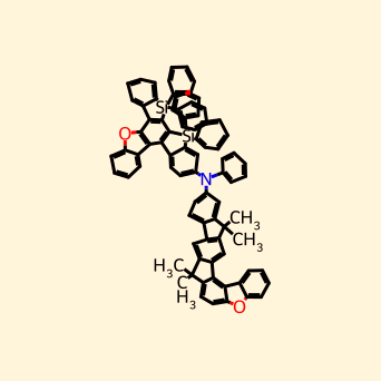 CC1(C)c2cc(N(c3ccccc3)c3ccc4c(c3)[Si](c3ccccc3)(c3ccccc3)c3c5c(c6oc7ccccc7c6c3-4)-c3ccccc3[Si]5(c3ccccc3)c3ccccc3)ccc2-c2cc3c(cc21)-c1c(ccc2oc4ccccc4c12)C3(C)C